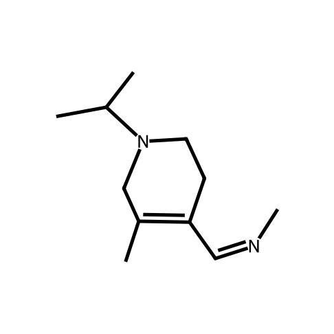 C/N=C\C1=C(C)CN(C(C)C)CC1